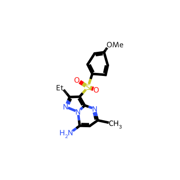 CCc1nn2c(N)cc(C)nc2c1S(=O)(=O)c1ccc(OC)cc1